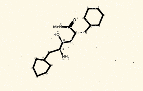 CNC(=O)[C@H](CC1CCCCC1)C[C@H](O)[C@@H](N)CC1CCCCC1